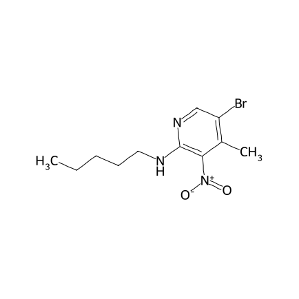 CCCCCNc1ncc(Br)c(C)c1[N+](=O)[O-]